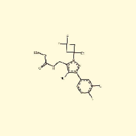 CCC1(n2nc(-c3ccc(F)c(Cl)c3)c(C#N)c2CNC(=O)OC(C)(C)C)CC(F)(F)C1